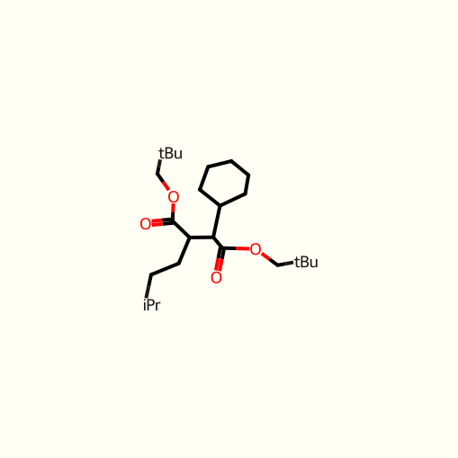 CC(C)CCC(C(=O)OCC(C)(C)C)C(C(=O)OCC(C)(C)C)C1CCCCC1